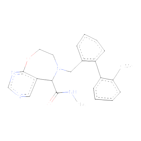 COc1ccccc1-c1ccccc1CN1CCOc2ncncc2C1C(=O)NC(C)(C)C